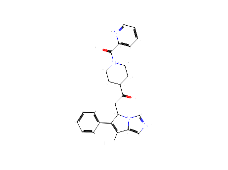 CC1=C(c2ccccc2)C(CC(=O)C2CCN(C(=O)c3ccccn3)CC2)n2cncc21